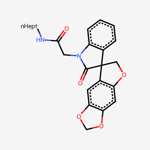 CCCCCCCNC(=O)CN1C(=O)C2(COc3cc4c(cc32)OCO4)c2ccccc21